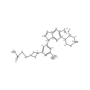 Cc1nc(N2CC(OCC(=O)O)C2)cc(-n2ncc3cc(C)c(C4CCNCC4F)cc32)n1.Cl